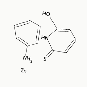 Nc1ccccc1.Oc1cccc(=S)[nH]1.[Zn]